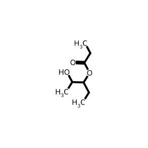 CCC(=O)OC(CC)C(C)O